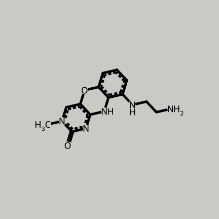 Cn1cc2c(nc1=O)Nc1c(NCCN)cccc1O2